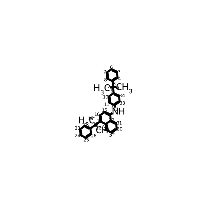 CC(C)(c1ccccc1)c1ccc(Nc2ccc(C(C)(C)c3ccccc3)c3ccccc23)cc1